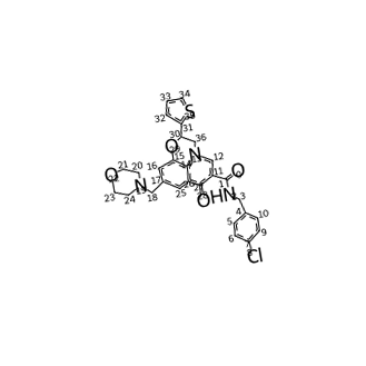 O=C(NCc1ccc(Cl)cc1)c1cn2c3c(cc(CN4CCOCC4)cc3c1=O)OC(c1cccs1)C2